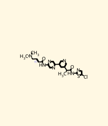 CC(C(=O)Nc1ncc(Cl)s1)c1cncc(-c2cnc(NC(=O)/C=C/CN(C)C)cn2)c1